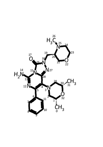 C[C@@H]1CN(c2c(-c3ccccc3)nc(N)n3c(=O)n(C[C@@H]4COCCN4C)nc23)C[C@H](C)O1